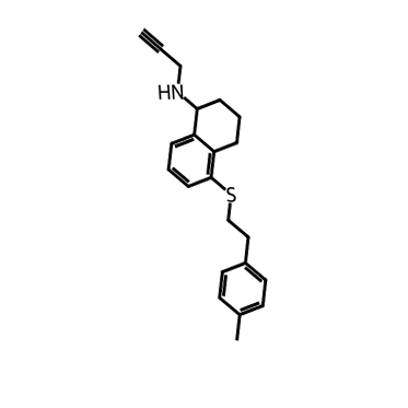 C#CCNC1CCCc2c(SCCc3ccc(C)cc3)cccc21